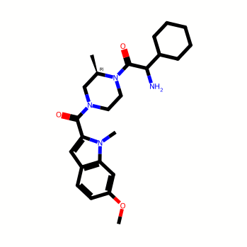 COc1ccc2cc(C(=O)N3CCN(C(=O)C(N)C4CCCCC4)[C@H](C)C3)n(C)c2c1